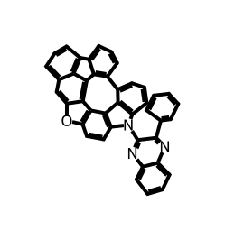 c1ccc(-c2nc3ccccc3nc2-n2c3cccc4c5cccc6c5c5c7c-6cccc7cc6oc7ccc2c(c7c65)c43)cc1